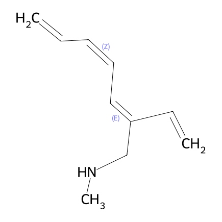 C=C/C=C\C=C(/C=C)CNC